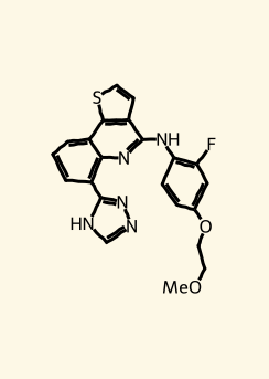 COCCOc1ccc(Nc2nc3c(-c4nnc[nH]4)cccc3c3sccc23)c(F)c1